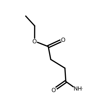 CCOC(=O)CCC([NH])=O